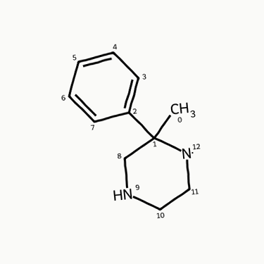 CC1(c2ccccc2)CNCC[N]1